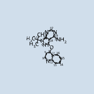 CC(C)(C)n1nc(Oc2ccnc3ccccc23)c2c(N)ncnc21